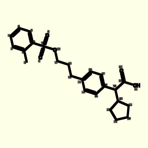 Cc1ccccc1S(=O)(=O)OCCCc1ccc(C(C(=O)O)C2CCCC2)cc1